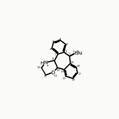 CC(C)(C)C1c2ccccc2C2NCCOC2c2ccccc21